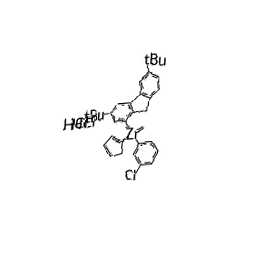 Cl.Cl.[CH2]=[Zr]([C]1=CC=CC1)([c]1cccc(Cl)c1)[c]1cc(C(C)(C)C)cc2c1Cc1ccc(C(C)(C)C)cc1-2